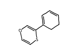 C1=CCCC(C2=COC=CS2)=C1